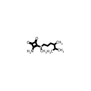 CC(C)C(C)CCCN(C)c1c(N)c(=O)c1=O